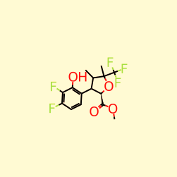 COC(=O)[C@@H]1OC(C)(C(F)(F)F)C(C)C1c1ccc(F)c(F)c1O